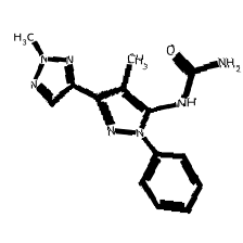 Cc1c(-c2cnn(C)n2)nn(-c2ccccc2)c1NC(N)=O